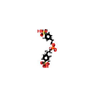 O=[PH](OCCc1ccc(S(=O)(=O)O)cc1)OCCc1ccc(S(=O)(=O)O)cc1